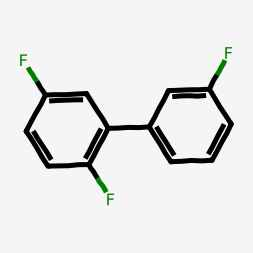 Fc1cccc(-c2cc(F)ccc2F)c1